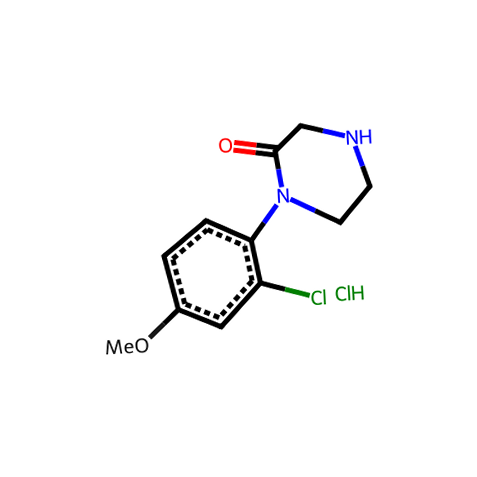 COc1ccc(N2CCNCC2=O)c(Cl)c1.Cl